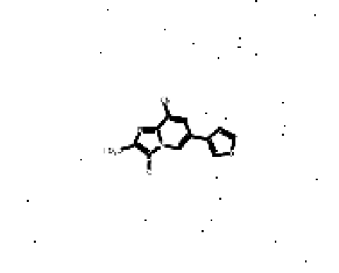 N#Cc1cc(-c2ccoc2)cn2c(Cl)c(C(=O)O)nc12